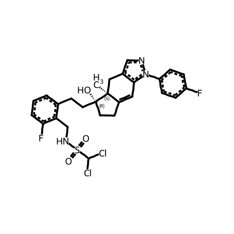 C[C@]12Cc3cnn(-c4ccc(F)cc4)c3C=C1CC[C@@]2(O)CCc1cccc(F)c1CNS(=O)(=O)C(Cl)Cl